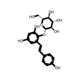 OC[C@H]1O[C@@H](Oc2c(O)cc(O)cc2/C=C/c2ccc(O)cc2)[C@H](O)[C@@H](O)[C@@H]1O